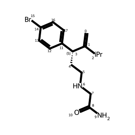 C=C(C(C)C)[C@H](CCNCC(N)=O)c1ccc(Br)cc1